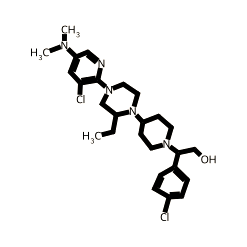 CCC1CN(c2ncc(N(C)C)cc2Cl)CCN1C1CCN(C(CO)c2ccc(Cl)cc2)CC1